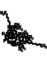 CCCCCCCCOc1c(C(C)(C)C)cc(C(O)(c2cc(C(C)(C)C)c(OCCCCCCCC)c(C(C)(C)C)c2)C(Cc2ccccc2)N=Cc2cccc(F)c2O)cc1C(C)(C)C